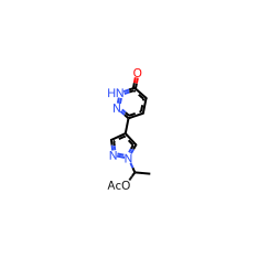 CC(=O)OC(C)n1cc(-c2ccc(=O)[nH]n2)cn1